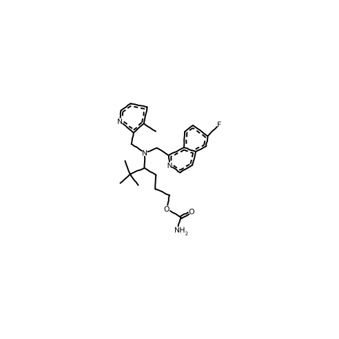 Cc1cccnc1CN(Cc1nccc2cc(F)ccc12)C(CCCOC(N)=O)C(C)(C)C